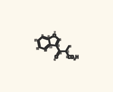 CC(C(=O)O)C(=O)c1coc2ccccc12